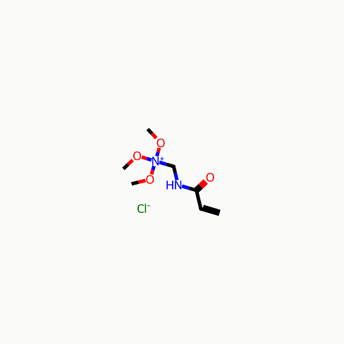 C=CC(=O)NC[N+](OC)(OC)OC.[Cl-]